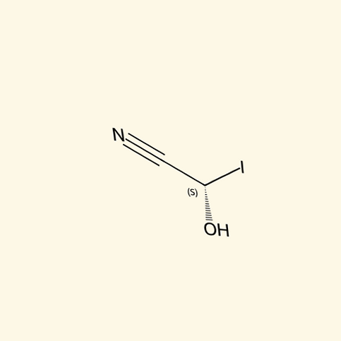 N#C[C@@H](O)I